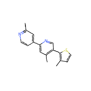 Cc1cc(-c2cc(C)c(-c3sccc3C)cn2)ccn1